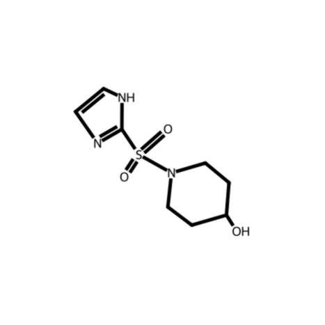 O=S(=O)(c1ncc[nH]1)N1CCC(O)CC1